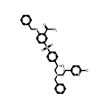 NC(=O)c1cc(S(=O)(=O)c2ccc(CCN(Cc3ccccc3)C[C@H](O)c3ccc(Cl)nc3)cc2)ccc1OCc1ccccc1